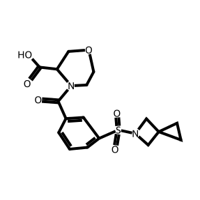 O=C(O)C1COCCN1C(=O)c1cccc(S(=O)(=O)N2CC3(CC3)C2)c1